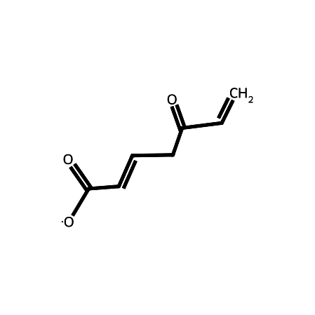 C=CC(=O)CC=CC([O])=O